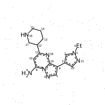 CCn1cc(-c2cnn3c(N)cc(C4CCCNC4)nc23)cn1